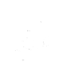 CCN(C(=N)N)C(=O)N(C)c1c(C)c(O)cc(O)c1C